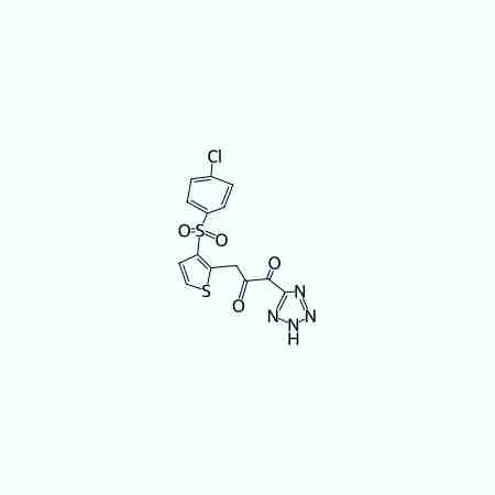 O=C(Cc1sccc1S(=O)(=O)c1ccc(Cl)cc1)C(=O)c1nn[nH]n1